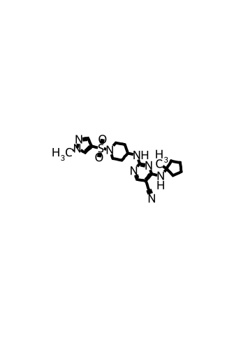 Cn1cc(S(=O)(=O)N2CCC(Nc3ncc(C#N)c(NC4(C)CCCC4)n3)CC2)cn1